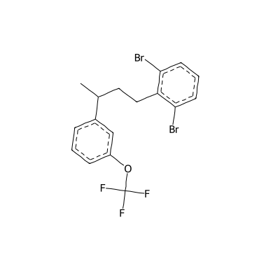 CC(CCc1c(Br)cccc1Br)c1cccc(OC(F)(F)F)c1